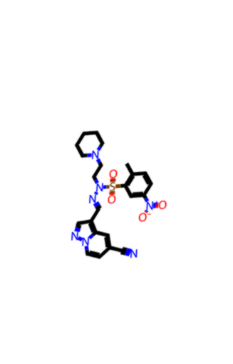 Cc1ccc([N+](=O)[O-])cc1S(=O)(=O)N(CCN1CCCCC1)N=Cc1cnn2ccc(C#N)cc12